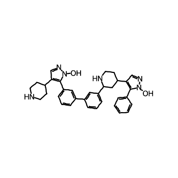 On1ncc(C2CCNCC2)c1-c1cccc(-c2cccc(C3CC(c4cnn(O)c4-c4ccccc4)CCN3)c2)c1